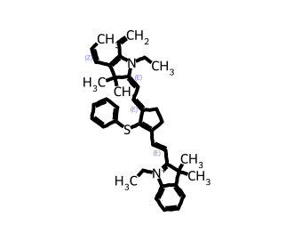 C=CC1=C(/C=C\C)C(C)(C)/C(=C\C=C2/CCC(/C=C/C3=[N+](CC)c4ccccc4C3(C)C)=C2Sc2ccccc2)N1CC